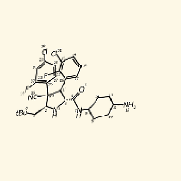 CC(C)(C)C[C@@H]1N[C@@H](C(=O)NC2CCC(N)CC2)[C@H](c2cccc(Cl)c2F)[C@@]1(C#N)c1ccc(Cl)cc1F